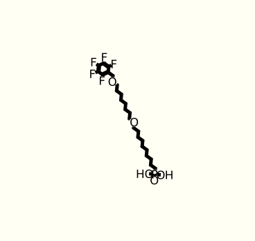 O=P(O)(O)CCCCCCCCCCOCCCCCCCCOCc1c(F)c(F)c(F)c(F)c1F